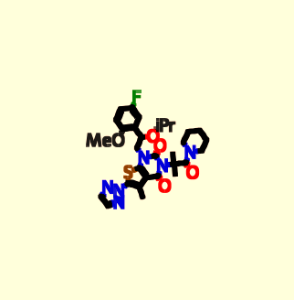 COc1ccc(F)cc1C(Cn1c(=O)n(C(C)(C)C(=O)N2CCCCC2)c(=O)c2c(C)c(-n3nccn3)sc21)OC(C)C